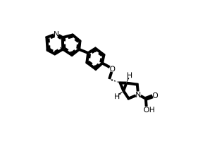 O=C(O)N1C[C@@H]2[C@@H](COc3ccc(-c4ccc5ncccc5c4)cc3)[C@@H]2C1